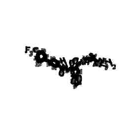 N=C(N)c1csc(CNC(=O)C2CC3(CN2C(=O)CNC(=O)c2ccc(-c4ccc(C(F)(F)F)cc4)cc2)OCCO3)c1